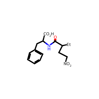 CCC(CC[N+](=O)[O-])C(=O)NC(Cc1ccccc1)C(=O)O